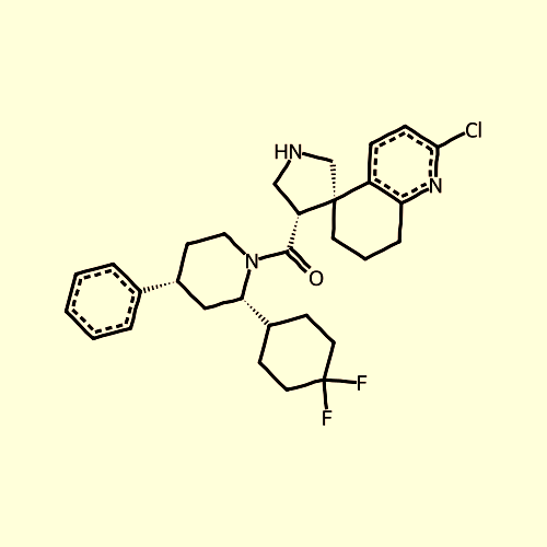 O=C([C@@H]1CNC[C@]12CCCc1nc(Cl)ccc12)N1CC[C@@H](c2ccccc2)C[C@H]1C1CCC(F)(F)CC1